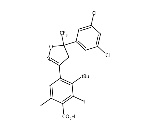 Cc1cc(C2=NOC(c3cc(Cl)cc(Cl)c3)(C(F)(F)F)C2)c(C(C)(C)C)c(I)c1C(=O)O